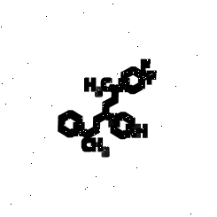 CC(CCC(CCC(C)N1CCC(F)(F)CC1)N1CCNCC1)N1CCCCC1